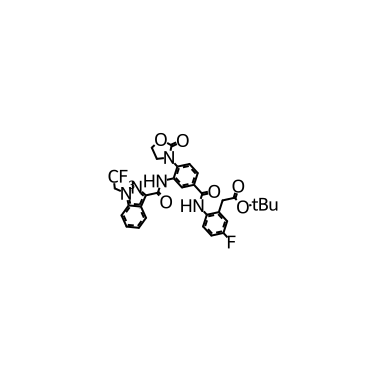 CC(C)(C)OC(=O)Cc1cc(F)ccc1NC(=O)c1ccc(N2CCOC2=O)c(NC(=O)c2nn(CC(F)(F)F)c3ccccc23)c1